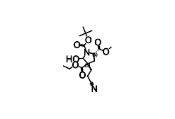 CCOC(=O)[C@@]1(CCC#N)C[C@@H](C(=O)OC)N(C(=O)OC(C)(C)C)C1O